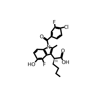 CCCC[C@H](C(=O)O)c1c(C)n(C(=O)c2ccc(Cl)c(F)c2)c2ccc(O)c(F)c12